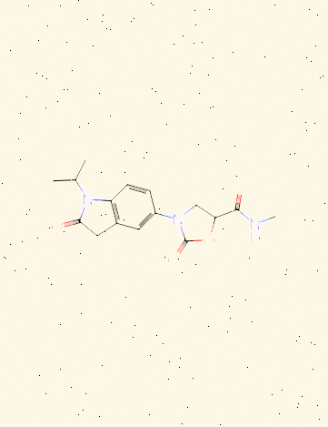 CNC(=O)C1CN(c2ccc3c(c2)CC(=O)N3C(C)C)C(=O)O1